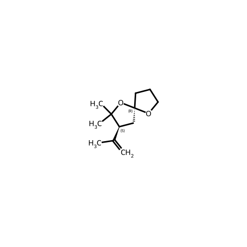 C=C(C)[C@@H]1C[C@@]2(CCCO2)OC1(C)C